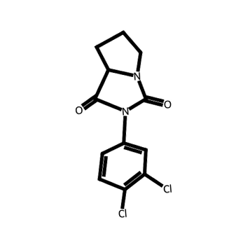 O=C1C2CCCN2C(=O)N1c1ccc(Cl)c(Cl)c1